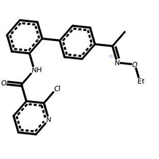 CCO/N=C(\C)c1ccc(-c2ccccc2NC(=O)c2cccnc2Cl)cc1